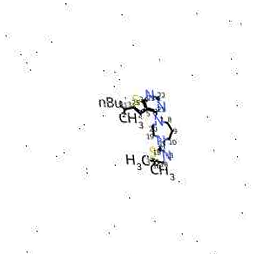 CCCCC(C)c1cc2c(N3CCCN(C4=NCC(C)(C)S4)CC3)ncnc2s1